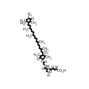 CC1=C(/C=C/C(C)=C/C=C/C(C)=C/C=C/C=C(C)/C=C/C=C(C)/C=C/C2=C(C)C(=O)C(OC(=O)CNC(=O)C(CS)NC(=O)CCC(N)C(=O)O)CC2(C)C)C(C)(C)CC(C)C1=O